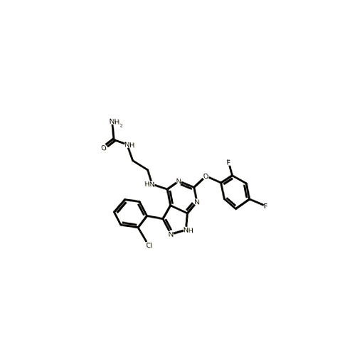 NC(=O)NCCNc1nc(Oc2ccc(F)cc2F)nc2[nH]nc(-c3ccccc3Cl)c12